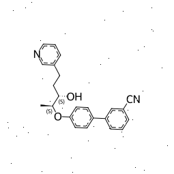 C[C@H](Oc1ccc(-c2cccc(C#N)c2)cc1)[C@@H](O)CCc1cccnc1